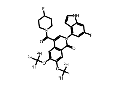 [2H]C([2H])([2H])Oc1cc2c(C(=O)N3CCC(F)CC3)cn(-c3cc(F)cc4[nH]ccc34)c(=O)c2cc1OC([2H])([2H])[2H]